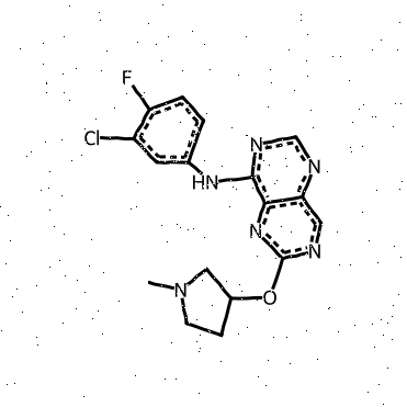 CN1CCC(Oc2ncc3ncnc(Nc4ccc(F)c(Cl)c4)c3n2)C1